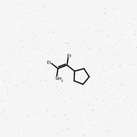 CCC([SiH3])=C(CC)C1CCCC1